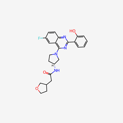 O=C(CC1CCOC1)N[C@@H]1CCN(c2nc(-c3ccccc3O)nc3ccc(F)cc23)C1